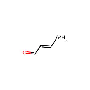 O=C/C=[C]/[AsH2]